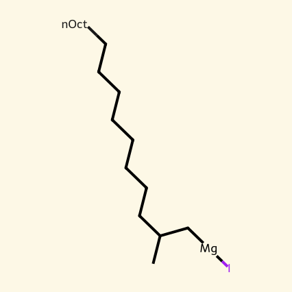 CCCCCCCCCCCCCCCCC(C)[CH2][Mg][I]